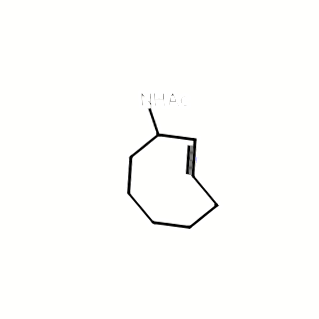 CC(=O)NC1/C=C/CCCCC1